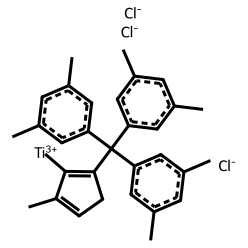 CC1=CCC(C(c2cc(C)cc(C)c2)(c2cc(C)cc(C)c2)c2cc(C)cc(C)c2)=[C]1[Ti+3].[Cl-].[Cl-].[Cl-]